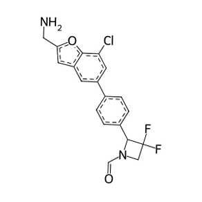 NCc1cc2cc(-c3ccc(C4N(C=O)CC4(F)F)cc3)cc(Cl)c2o1